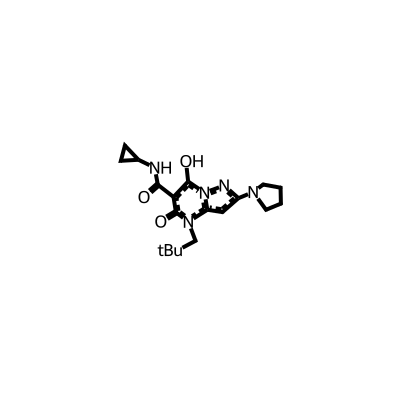 CC(C)(C)Cn1c(=O)c(C(=O)NC2CC2)c(O)n2nc(N3CCCC3)cc12